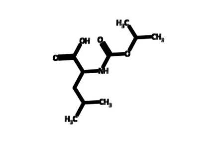 CC(C)CC(NC(=O)OC(C)C)C(=O)O